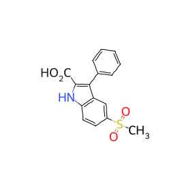 CS(=O)(=O)c1ccc2[nH]c(C(=O)O)c(-c3ccccc3)c2c1